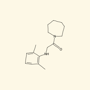 Cc1cccc(C)c1NCC(=O)N1CCCCCC1